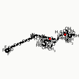 CC(=O)N[C@H]1[C@H]([C@H](OC(=O)N(C)CCOCCN(CCOCCOCCOCCOCc2cn(CCOCCOCCOCCOCCC(=O)Oc3c(F)c(F)cc(F)c3F)nn2)CCOCCN(C)C(=O)O[C@@H]([C@@H]2OC(C(=O)O)=C[C@H](NC(=N)N)[C@H]2C)[C@H](O)CO)[C@H](O)CO)OC(C(=O)O)=C[C@@H]1NC(=N)N